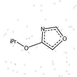 CC(C)Oc1co[c]n1